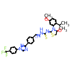 COc1ccc(C(C)C)c(N2C(=O)CS/C2=N\C(=S)N/N=C/c2ccc(-c3ncn(-c4ccc(C(F)(F)F)cc4)n3)cc2)c1